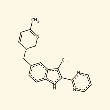 CC1=NCN(Cc2ccc3[nH]c(-c4ncccn4)c(C)c3c2)C=C1